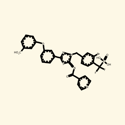 O=C(O)c1cccc(Oc2cccc(-c3nn(Cc4ccc(C(F)(F)P(=O)(O)O)c(Br)c4)c(=NC(=O)c4ccncc4)s3)c2)c1